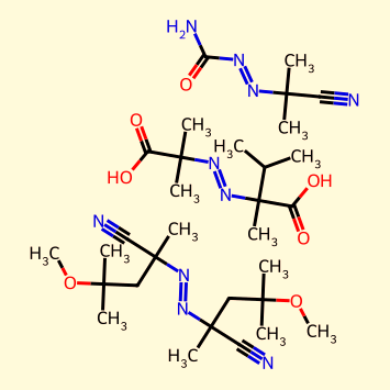 CC(C)(C#N)/N=N/C(N)=O.CC(C)C(C)(/N=N/C(C)(C)C(=O)O)C(=O)O.COC(C)(C)CC(C)(C#N)/N=N/C(C)(C#N)CC(C)(C)OC